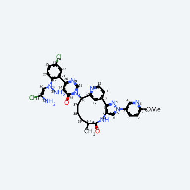 COc1ccc(-n2cc3c(n2)-c2ccnc(c2)C(n2cnc(-c4cc(Cl)ccc4N(N)/C=C(\N)Cl)cc2=O)CCCC(C)C(=O)N3)cn1